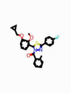 COc1c(OCC2CC2)cccc1C1SC(c2ccc(F)cc2)=NN1C(=O)c1ccccc1C